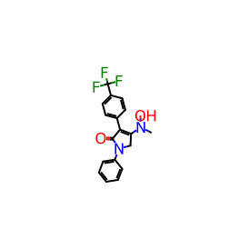 CN(O)C1=C(c2ccc(C(F)(F)F)cc2)C(=O)N(c2ccccc2)C1